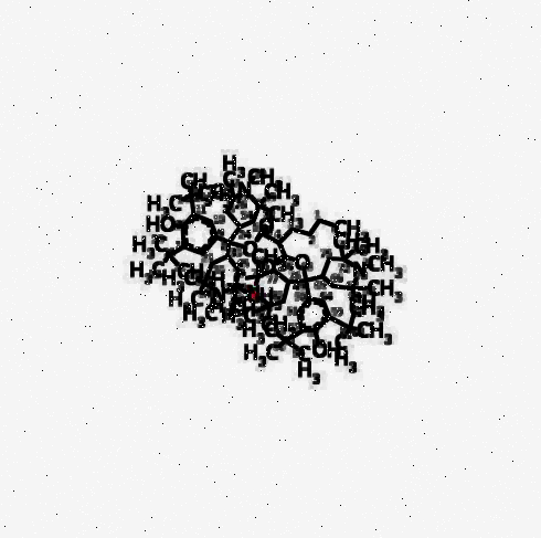 CCCCC(C(=O)OC(c1cc(C(C)(C)C)c(O)c(C(C)(C)C)c1)(C1CC(C)(C)N(C)C(C)(C)C1)C1CC(C)(C)N(C)C(C)(C)C1)C(=O)OC(c1cc(C(C)(C)C)c(O)c(C(C)(C)C)c1)(C1CC(C)(C)N(C)C(C)(C)C1)C1CC(C)(C)N(C)C(C)(C)C1